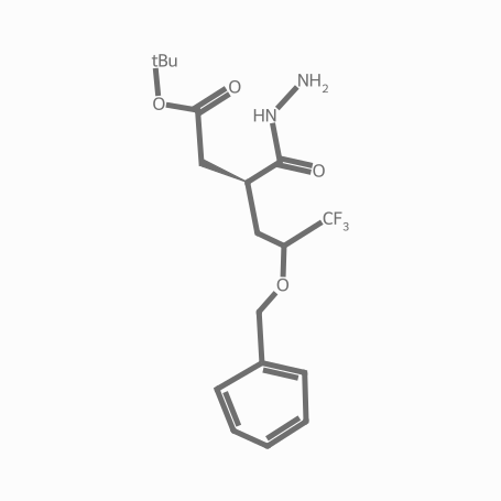 CC(C)(C)OC(=O)C[C@H](CC(OCc1ccccc1)C(F)(F)F)C(=O)NN